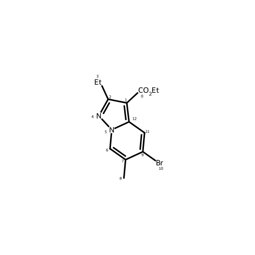 CCOC(=O)c1c(CC)nn2cc(C)c(Br)cc12